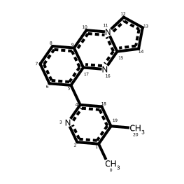 Cc1cnc(-c2cccc3cn4cccc4nc23)cc1C